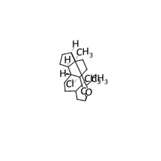 CC1OC2CC[C@@]3(C)C(CC[C@@H]4[C@H]5CC[C@H]1[C@@]5(C)CC[C@]43Cl)C2